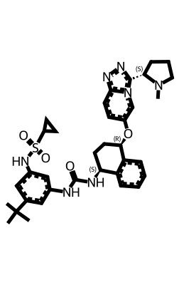 CN1CCC[C@H]1c1nnc2ccc(O[C@@H]3CC[C@H](NC(=O)Nc4cc(NS(=O)(=O)C5CC5)cc(C(C)(C)C)c4)c4ccccc43)cn12